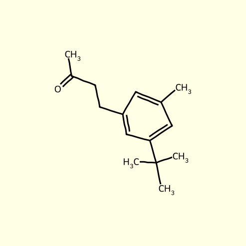 CC(=O)CCc1cc(C)cc(C(C)(C)C)c1